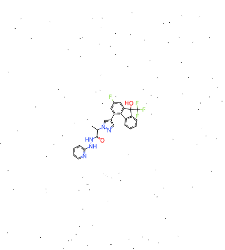 CC(C(=O)NNc1ccccn1)n1cc(-c2cc(F)cc3c2-c2ccccc2C3(O)C(F)(F)F)cn1